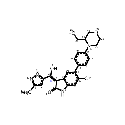 COc1cc(/C(O)=C2\C(=O)Nc3cc(Cl)c(-c4ccc(N5CCOCC5CO)cc4)cc32)on1